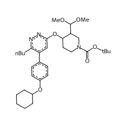 CCCCc1nnc(OC2CCN(C(=O)OC(C)(C)C)CC2C(OC)OC)cc1-c1ccc(OC2CCCCC2)cc1